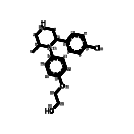 CC1CNCC(c2ccc(Cl)cc2)N1c1ccc(OCCO)cc1